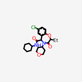 CCC1Oc2ccc(Cl)cc2C(C(=O)NC2CCCCC2)N(C2CCOCC2)C1=O